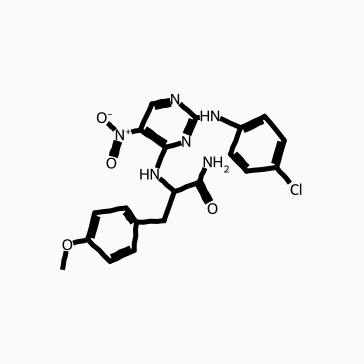 COc1ccc(CC(Nc2nc(Nc3ccc(Cl)cc3)ncc2[N+](=O)[O-])C(N)=O)cc1